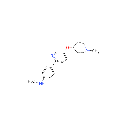 CNc1ccc(-c2ccc(OC3CCN(C)CC3)cn2)cc1